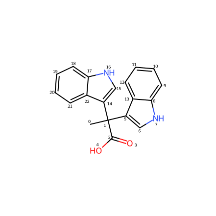 CC(C(=O)O)(c1c[nH]c2ccccc12)c1c[nH]c2ccccc12